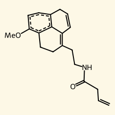 C=CCC(=O)NCCC1=C2C=CCc3ccc(OC)c(c32)CC1